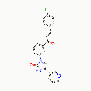 O=C(C=Cc1ccc(F)cc1)c1cccc(-n2cc(-c3cccnc3)[nH]c2=O)c1